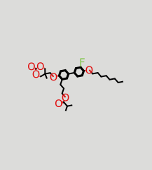 CCCCCCCCOc1ccc(-c2ccc(OCC3(C)COC(=O)OC3)c(CCCOC(=O)C(C)C)c2)cc1F